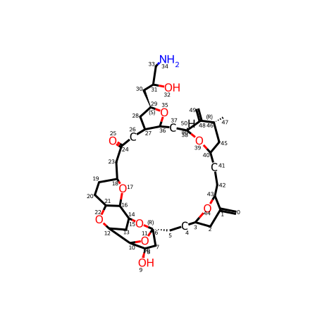 C=C1CC2CC[C@]34C[C@@H](O)C(O3)C3CC(O4)C4OC(CCC4O3)CC(=O)CC3C[C@@H](CC(O)CN)OC3C[C@H]3OC(CCC1O2)C[C@@H](C)C3=C